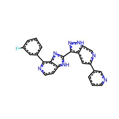 Fc1cccc(-c2nccc3[nH]c(-c4n[nH]c5cnc(-c6cccnc6)cc45)nc23)c1